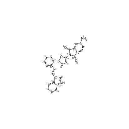 Nc1ccc2c(c1)C(=O)N(C1=COC(c3ccccc3/C=C/c3n[nH]c4ccccc34)O1)C2=O